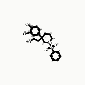 O=S(=O)(c1ccccc1)N1CCCC(CCO)(c2ccc(Cl)c(Cl)c2)C1